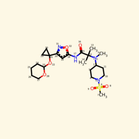 CN(C1CCN(S(C)(=O)=O)CC1)C(C)(C)C(=O)Nc1cc(C2(OC3CCCCO3)CC2)no1